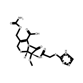 CO[C@@]1(NC(=O)CSc2nnc[nH]2)C(=O)N2C(C(=O)O)=C(COC(N)=O)CS[C@H]21